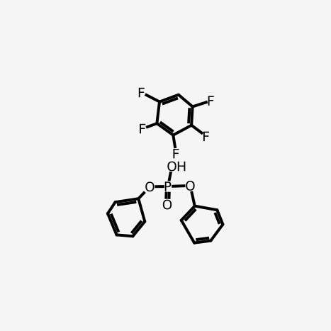 Fc1cc(F)c(F)c(F)c1F.O=P(O)(Oc1ccccc1)Oc1ccccc1